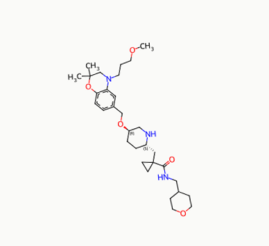 COCCCN1CC(C)(C)Oc2ccc(CO[C@@H]3CC[C@@H](CC4(C(=O)NCC5CCOCC5)CC4)NC3)cc21